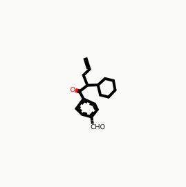 C=CCC(C(=O)c1ccc(C=O)cc1)C1CCCCC1